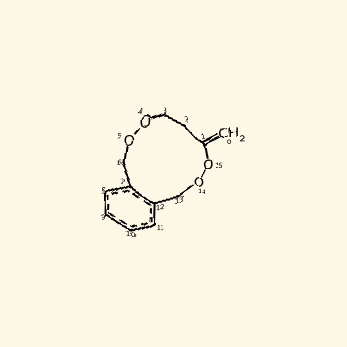 C=C1CCOOCc2ccccc2COO1